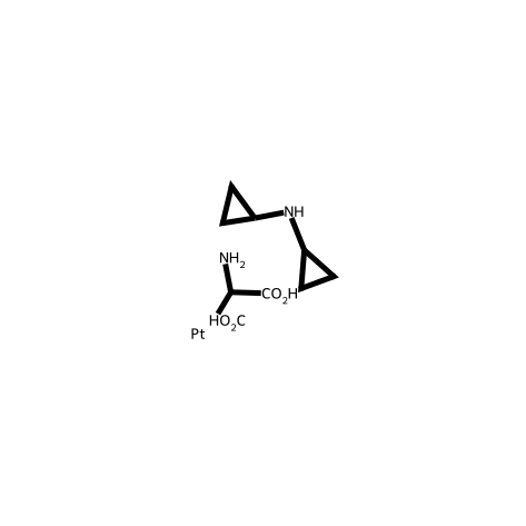 C1CC1NC1CC1.NC(C(=O)O)C(=O)O.[Pt]